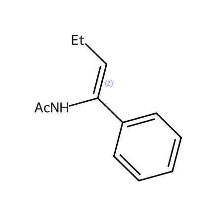 CC/C=C(\NC(C)=O)c1ccccc1